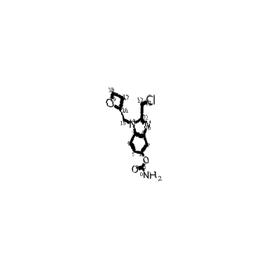 NC(=O)Oc1ccc2c(c1)nc(CCl)n2C[C@@H]1CCO1